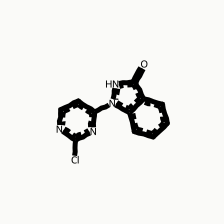 O=c1[nH]n(-c2ccnc(Cl)n2)c2ccccc12